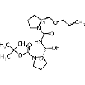 C=CCOC[C@@H]1CCCN1C(=O)NC(O)[C@@H]1CCCN1C(=O)OC(C)(C)C